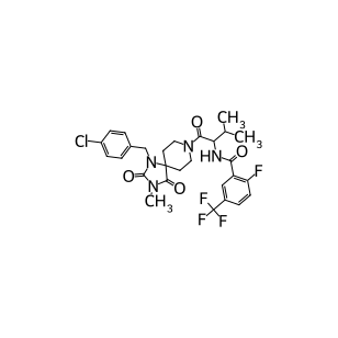 CC(C)C(NC(=O)c1cc(C(F)(F)F)ccc1F)C(=O)N1CCC2(CC1)C(=O)N(C)C(=O)N2Cc1ccc(Cl)cc1